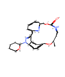 C[C@@H]1CCNC(=O)OCc2cccc(n2)-c2nn(C3CCCCO3)c3ccc(cc23)O1